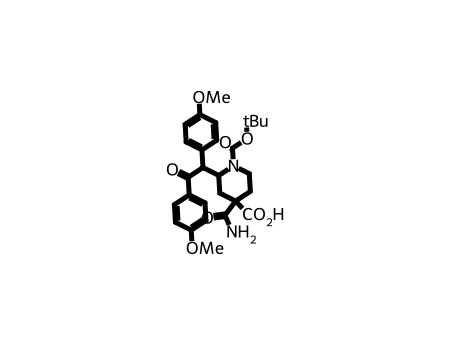 COc1ccc(C(=O)C(c2ccc(OC)cc2)C2CC(C(N)=O)(C(=O)O)CCN2C(=O)OC(C)(C)C)cc1